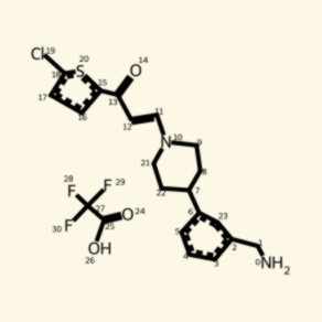 NCc1cccc(C2CCN(/C=C/C(=O)c3ccc(Cl)s3)CC2)c1.O=C(O)C(F)(F)F